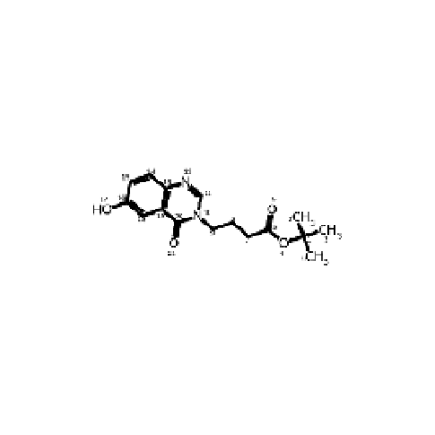 CC(C)(C)OC(=O)CCCn1cnc2ccc(O)cc2c1=O